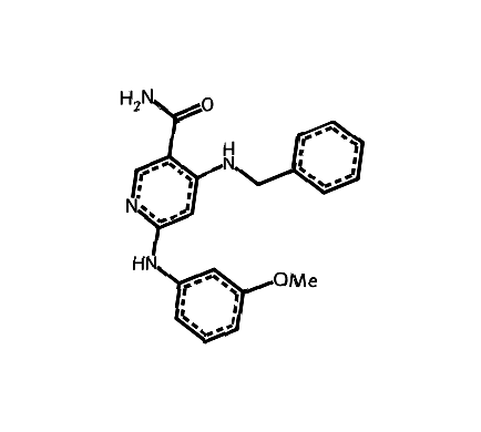 COc1cccc(Nc2cc(NCc3ccccc3)c(C(N)=O)cn2)c1